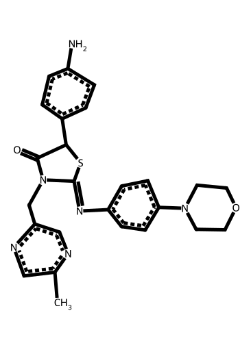 Cc1cnc(CN2C(=O)C(c3ccc(N)cc3)SC2=Nc2ccc(N3CCOCC3)cc2)cn1